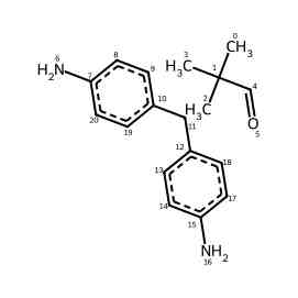 CC(C)(C)C=O.Nc1ccc(Cc2ccc(N)cc2)cc1